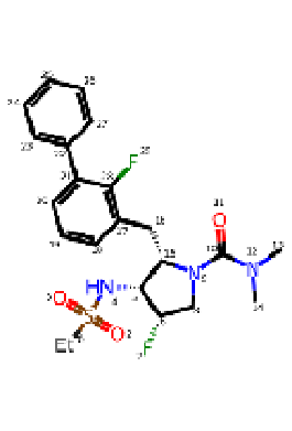 CCS(=O)(=O)N[C@H]1[C@@H](F)CN(C(=O)N(C)C)[C@H]1Cc1cccc(-c2ccccc2)c1F